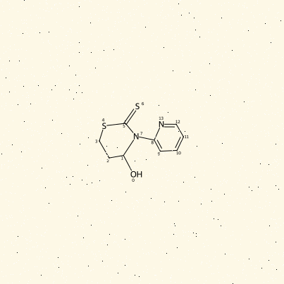 OC1CCSC(=S)N1c1ccccn1